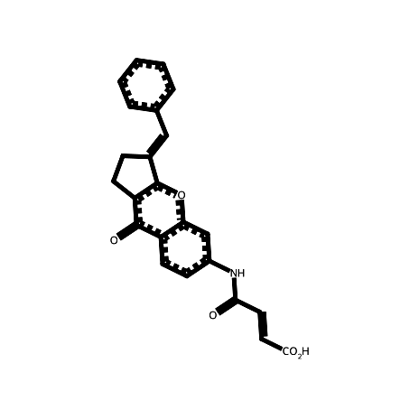 O=C(O)C=CC(=O)Nc1ccc2c(=O)c3c(oc2c1)C(=Cc1ccccc1)CC3